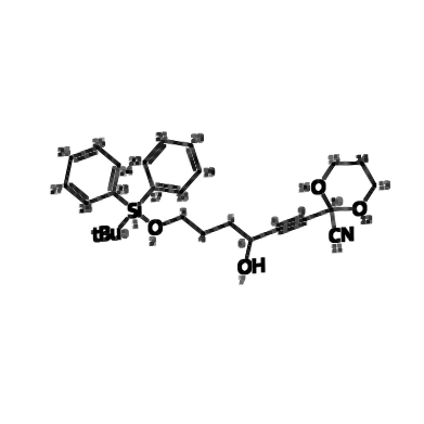 CC(C)(C)[Si](OCCCC(O)C#CC1(C#N)OCCCO1)(c1ccccc1)c1ccccc1